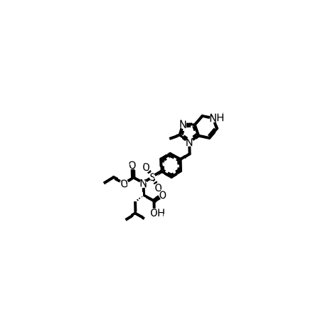 CCOC(=O)N([C@@H](CC(C)C)C(=O)O)S(=O)(=O)c1ccc(Cn2c(C)nc3c2C=CNC3)cc1